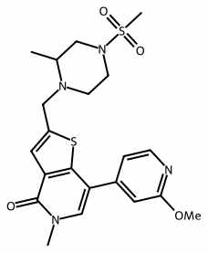 COc1cc(-c2cn(C)c(=O)c3cc(CN4CCN(S(C)(=O)=O)CC4C)sc23)ccn1